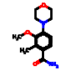 COc1c(N2CCOCC2)ccc(C(N)=O)c1C